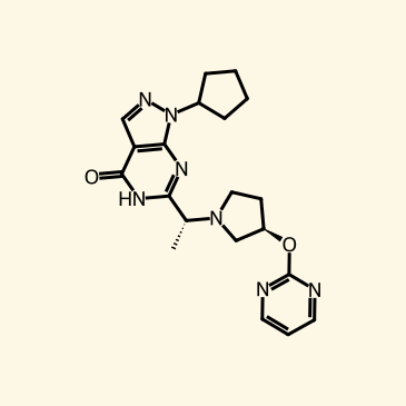 C[C@H](c1nc2c(cnn2C2CCCC2)c(=O)[nH]1)N1CC[C@@H](Oc2ncccn2)C1